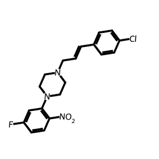 O=[N+]([O-])c1ccc(F)cc1N1CCN(CC=Cc2ccc(Cl)cc2)CC1